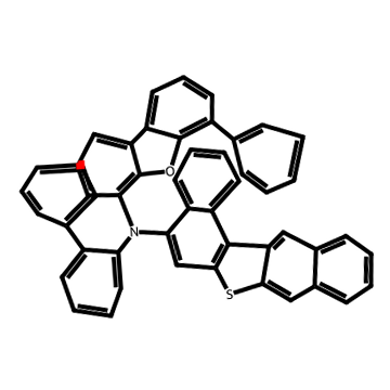 c1ccc(-c2ccccc2N(c2cc3sc4cc5ccccc5cc4c3c3ccccc23)c2cccc3c2oc2c(-c4ccccc4)cccc23)cc1